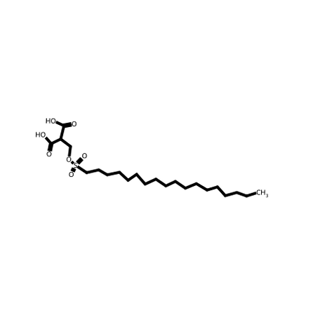 CCCCCCCCCCCCCCCCCCS(=O)(=O)OCC(C(=O)O)C(=O)O